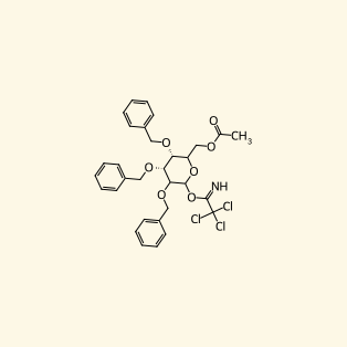 CC(=O)OCC1OC(OC(=N)C(Cl)(Cl)Cl)C(OCc2ccccc2)[C@H](OCc2ccccc2)[C@@H]1OCc1ccccc1